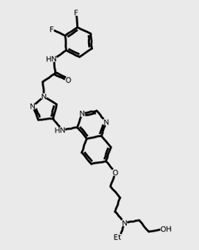 CCN(CCO)CCCOc1ccc2c(Nc3cnn(CC(=O)Nc4cccc(F)c4F)c3)ncnc2c1